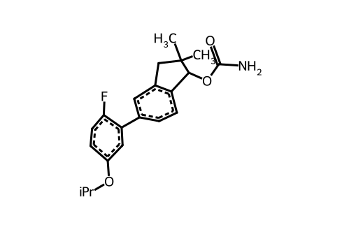 CC(C)Oc1ccc(F)c(-c2ccc3c(c2)CC(C)(C)C3OC(N)=O)c1